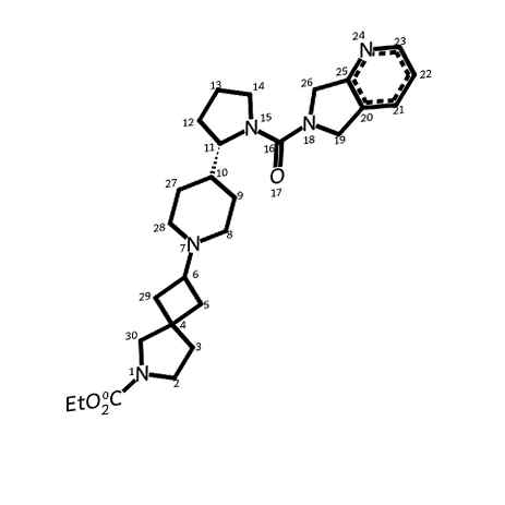 CCOC(=O)N1CCC2(CC(N3CCC([C@@H]4CCCN4C(=O)N4Cc5cccnc5C4)CC3)C2)C1